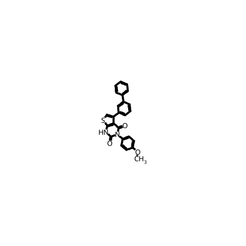 COc1ccc(-n2c(=O)[nH]c3scc(-c4cccc(-c5ccccc5)c4)c3c2=O)cc1